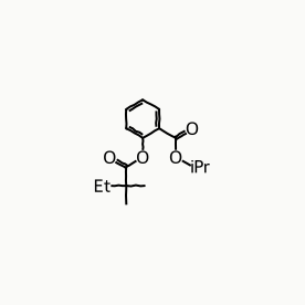 CCC(C)(C)C(=O)Oc1ccccc1C(=O)OC(C)C